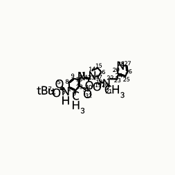 Cc1c(NC(=O)OC(C)(C)C)ccc2nc(N3CCC[C@H]3C(=O)N(C)CCc3cccnc3)oc(=O)c12